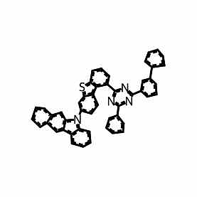 c1ccc(-c2cccc(-c3nc(-c4ccccc4)nc(-c4cccc5sc6cc(-n7c8ccccc8c8cc9ccccc9cc87)ccc6c45)n3)c2)cc1